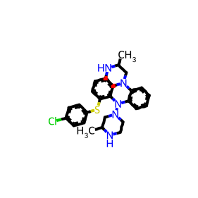 CC1CN(c2ccccc2N(c2ccccc2Sc2ccc(Cl)cc2)N2CCNC(C)C2)CCN1